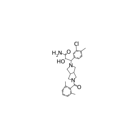 Cc1ccc(C(C(O)C(N)=O)N2CC3CN(C(=O)c4c(C)cccc4C)CC3C2)cc1Cl